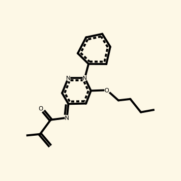 C=C(C)C(=O)N=c1cnn(-c2ccccc2)c(OCCCC)c1